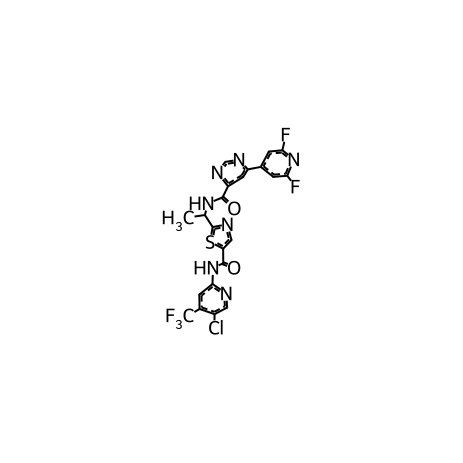 CC(NC(=O)c1cc(-c2cc(F)nc(F)c2)ncn1)c1ncc(C(=O)Nc2cc(C(F)(F)F)c(Cl)cn2)s1